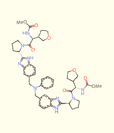 COC(=O)N[C@H](C(=O)N1CCC[C@H]1c1nc2cc(CN(Cc3ccc4[nH]c([C@@H]5CCCN5C(=O)[C@@H](NC(=O)OC)C5CCOC5)nc4c3)c3ccccc3)ccc2[nH]1)C1CCOC1